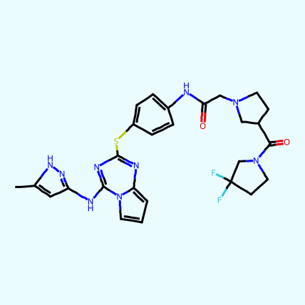 Cc1cc(Nc2nc(Sc3ccc(NC(=O)CN4CCC(C(=O)N5CCC(F)(F)C5)C4)cc3)nc3cccn23)n[nH]1